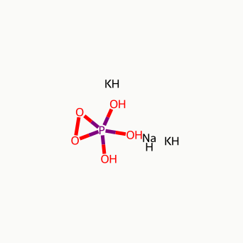 OP1(O)(O)OO1.[KH].[KH].[NaH]